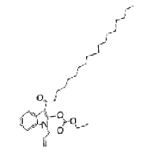 C=CCn1c(OC(=O)OCC)c(C(=O)CCCCCCCCCCCCCCCCC)c2ccccc21